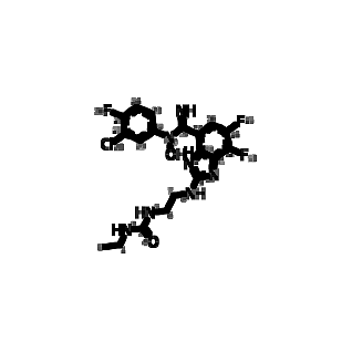 CCNC(=O)NCCNc1nc2c(F)c(F)cc(C(=N)N(O)c3ccc(F)c(Cl)c3)c2[nH]1